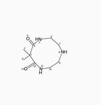 CC1(C)C(=O)NCCNCCNC1=O